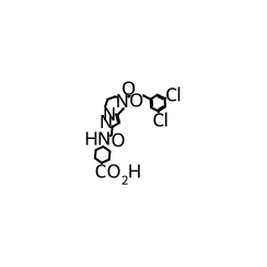 O=C(N[C@H]1CC[C@H](C(=O)O)CC1)c1cc2n(n1)CCCN(C(=O)OCc1cc(Cl)cc(Cl)c1)C2